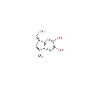 CCCCCCCC/C=C1/C=C(C(F)(F)F)c2cc(O)c(O)cc21